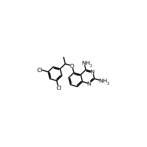 CC(Oc1cccc2nc(N)nc(N)c12)c1cc(Cl)cc(Cl)c1